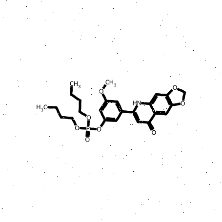 CCCCOP(=O)(OCCCC)Oc1cc(OC)cc(-c2cc(=O)c3cc4c(cc3[nH]2)OCO4)c1